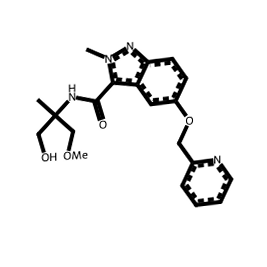 COCC(C)(CO)NC(=O)c1c2cc(OCc3ccccn3)ccc2nn1C